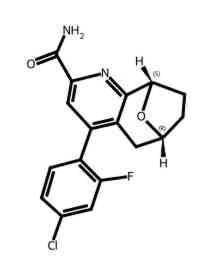 NC(=O)c1cc(-c2ccc(Cl)cc2F)c2c(n1)[C@@H]1CC[C@H](C2)O1